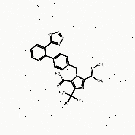 COC(C)c1nc(C(C)(C)O)c(C(=O)O)n1Cc1ccc(-c2ccccc2-c2nnn[nH]2)cc1